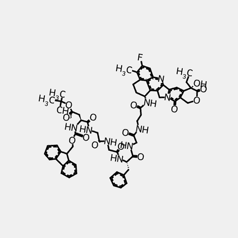 CC[C@@]1(O)C(=O)OCc2c1cc1n(c2=O)Cc2c-1nc1cc(F)c(C)c3c1c2[C@@H](NC(=O)CCNC(=O)CNC(=O)[C@H](Cc1ccccc1)NC(=O)CNC(=O)CNC(=O)[C@H](CC(=O)OC(C)(C)C)NC(=O)OCC1c2ccccc2-c2ccccc21)CC3